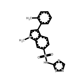 Cc1ccccc1-c1cn(C)c2cc(S(=O)(=O)Nc3ncns3)ccc12